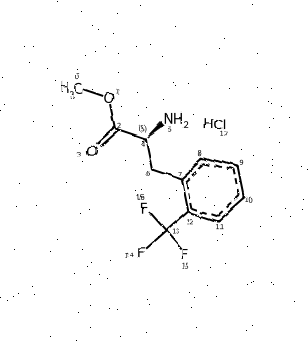 COC(=O)[C@@H](N)Cc1ccccc1C(F)(F)F.Cl